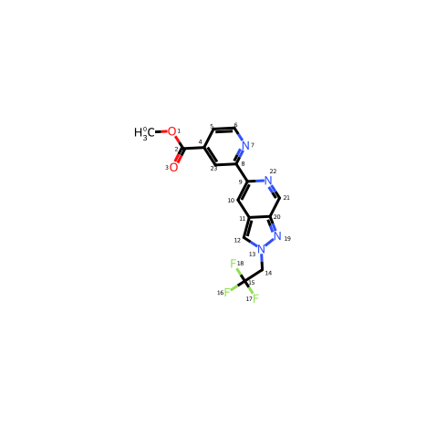 COC(=O)c1ccnc(-c2cc3cn(CC(F)(F)F)nc3cn2)c1